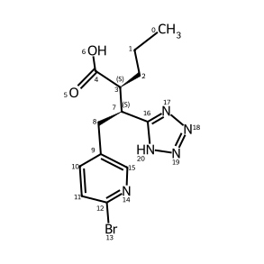 CCC[C@H](C(=O)O)[C@H](Cc1ccc(Br)nc1)c1nnn[nH]1